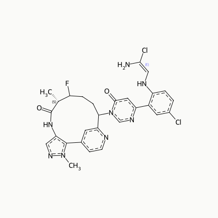 C[C@H]1C(=O)Nc2cnn(C)c2-c2ccnc(c2)C(n2cnc(-c3cc(Cl)ccc3N/C=C(\N)Cl)cc2=O)CCC1F